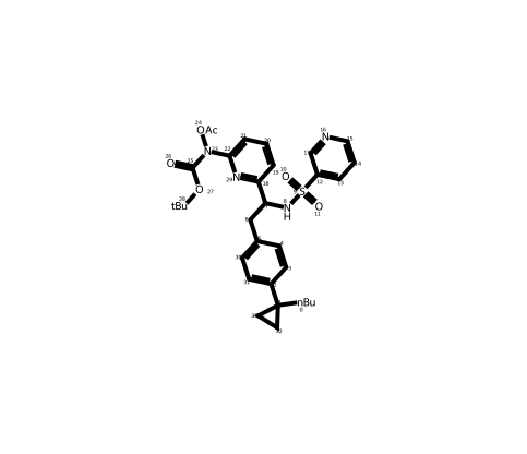 CCCCC1(c2ccc(CC(NS(=O)(=O)c3cccnc3)c3cccc(N(OC(C)=O)C(=O)OC(C)(C)C)n3)cc2)CC1